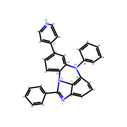 c1ccc(-c2nc3cccc4c3n2-c2ccc(-c3ccncc3)cc2N4c2ccccc2)cc1